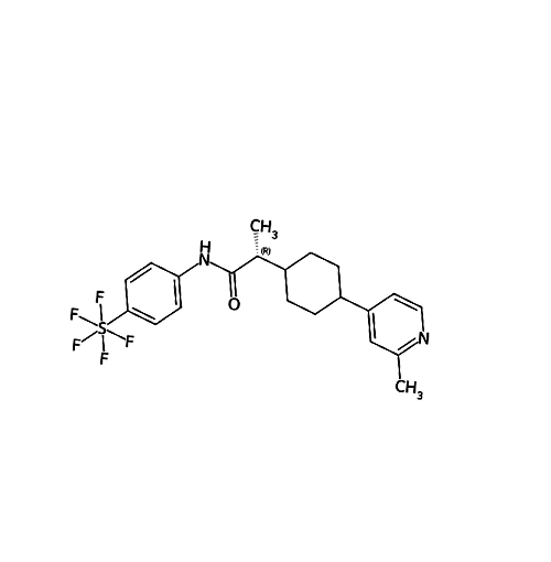 Cc1cc(C2CCC([C@@H](C)C(=O)Nc3ccc(S(F)(F)(F)(F)F)cc3)CC2)ccn1